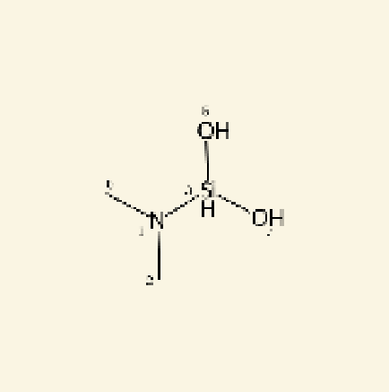 CN(C)[SiH](O)O